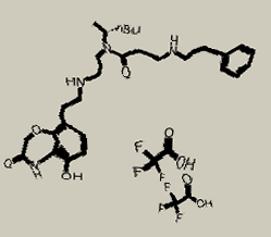 CCCC[C@@H](C)N(CCNCCc1ccc(O)c2c1OCC(=O)N2)C(=O)CCNCCc1ccccc1.O=C(O)C(F)(F)F.O=C(O)C(F)(F)F